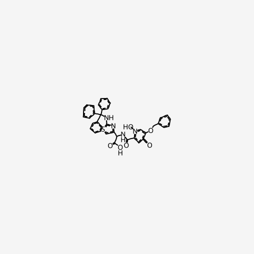 O=C(NC(C(=O)O)c1csc(NC(c2ccccc2)(c2ccccc2)c2ccccc2)n1)c1cc(=O)c(OCc2ccccc2)cn1O